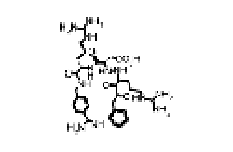 N=C(N)c1ccc(CNC(=O)[C@H](CCCNC(N)N)NC(=O)[C@H](CC(=O)O)NN[C@@H](CCCNC(N)N)C(=O)C(=O)Cc2ccccc2)cc1